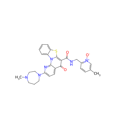 Cc1ccc(CNC(=O)c2c(=O)c3ccc(N4CCCN(C)CC4)nc3n3c2sc2ccccc23)[n+]([O-])c1